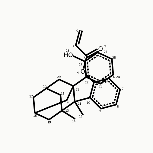 C=CC(=O)Oc1ccccc1C1(C)C2(C)CC3CC(C2)CC1(c1ccccc1O)C3